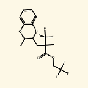 CC1Oc2ccccc2OC1CC(C)(C(=O)OCC(F)(F)F)C(F)(F)F